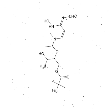 BC(O)C(COC(=O)C(C)(C)O)OC(C)N(C)/C=C\C(=N/C=O)NO